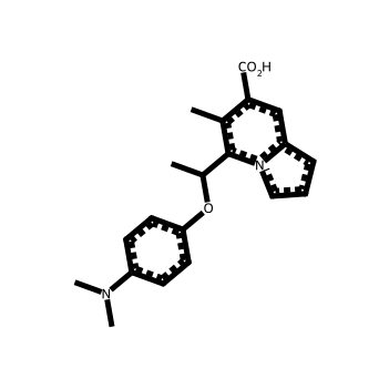 Cc1c(C(=O)O)cc2cccn2c1C(C)Oc1ccc(N(C)C)cc1